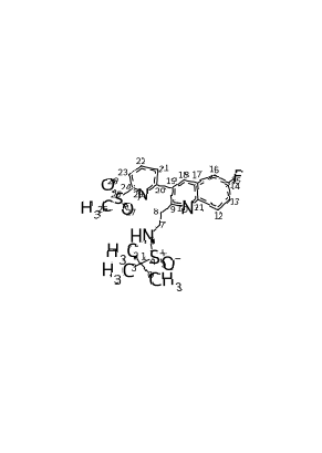 CC(C)(C)[S@@+]([O-])NCCc1nc2ccc(F)cc2cc1-c1cccc(S(C)(=O)=O)n1